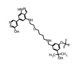 CC(C)(O)c1cc(CNCCCCOCCNc2cc(-c3cnnc(O)c3)cc3[nH]ncc23)cc(OC(F)(F)F)c1